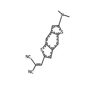 CN(C)c1cc2cc3sc(C=C(C#N)C#N)cc3cc2s1